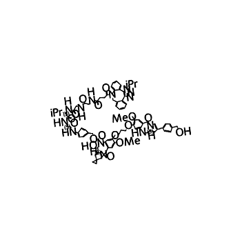 COc1cc2c(cc1OCCCOc1cc3c(cc1OC)C(=O)N1CC4(CC4)C[C@H]1C(O)N3C(=O)OCc1ccc(NC(=O)[C@H](C)NC(=O)[C@@H](NC(=O)CNC(=O)CNC(=O)CCC(=O)N3Cc4ccccc4-c4nnn(C(C)C)c4-c4ccccc43)C(C)C)cc1)NC[C@@H]1CC(c3ccc(CO)cc3)=CN1C2=O